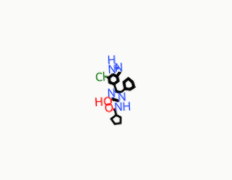 O=C(Nc1nc(-c2ccccc2)c(-c2cc(Cl)c3[nH]ncc3c2)nc1O)C1CCCC1